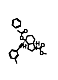 COC(=O)N1CC[C@@H]2[C@H]1CCC[C@]2(C#Cc1cccc(C)c1)OC(C)=O.c1ccccc1